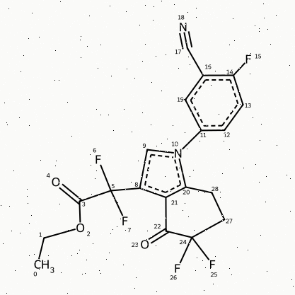 CCOC(=O)C(F)(F)c1cn(-c2ccc(F)c(C#N)c2)c2c1C(=O)C(F)(F)CC2